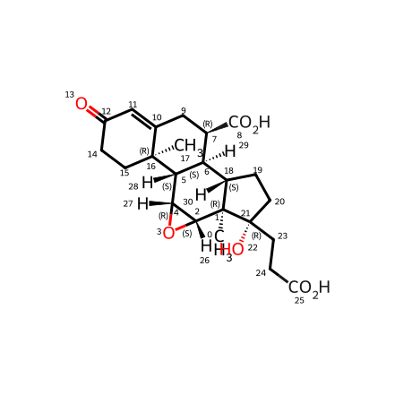 C[C@]12[C@@H]3O[C@@H]3[C@H]3[C@@H]([C@H](C(=O)O)CC4=CC(=O)CC[C@@]43C)[C@@H]1CC[C@@]2(O)CCC(=O)O